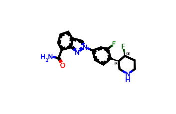 NC(=O)c1cccc2cn(-c3ccc([C@@H]4CNCC[C@@H]4F)c(F)c3)nc12